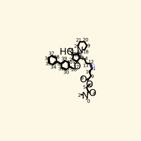 CN(C)C(=O)COC(=O)CC/C=C\CC[C@@H]1[C@@H](N2CCCCC2)[C@H](O)C[C@@H]1OCc1ccc(-c2ccccc2)cc1